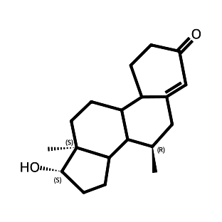 C[C@@H]1CC2=CC(=O)CCC2C2CC[C@@]3(C)C(CC[C@@H]3O)C21